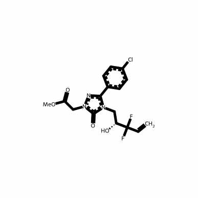 C=CC(F)(F)[C@H](O)Cn1c(-c2ccc(Cl)cc2)nn(CC(=O)OC)c1=O